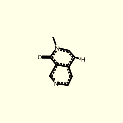 [2H]c1cn(C)c(=O)c2cnccc12